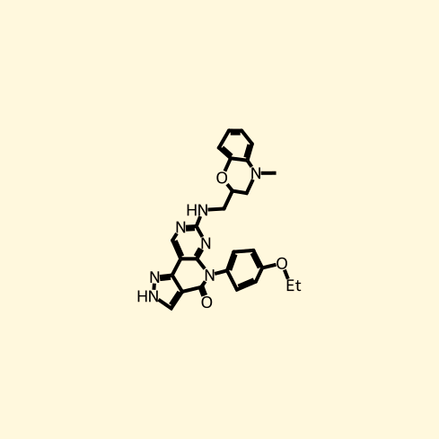 CCOc1ccc(-n2c(=O)c3c[nH]nc3c3cnc(NCC4CN(C)c5ccccc5O4)nc32)cc1